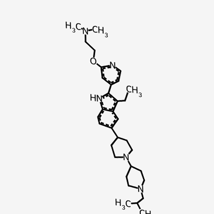 CCc1c(-c2ccnc(OCCN(C)C)c2)[nH]c2ccc(C3CCN(C4CCN(CC(C)C)CC4)CC3)cc12